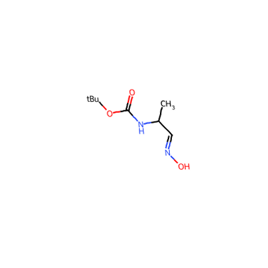 CC(/C=N/O)NC(=O)OC(C)(C)C